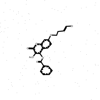 CCC=CCCOc1ccc2c(OC(=O)c3ccccc3)c(OC(C)=O)c(=O)oc2c1